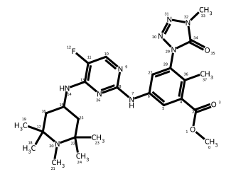 COC(=O)c1cc(Nc2ncc(F)c(NC3CC(C)(C)N(C)C(C)(C)C3)n2)cc(-n2nnn(C)c2=O)c1C